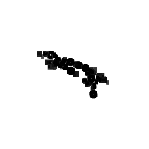 CN(C)CC[C@H](CSc1ccccc1)Nc1ccc(S(=O)(=O)Nc2ccc(N3CCN(c4cccc(-c5c(-c6ccc(Cl)cc6)cn(CC[C@H](O)CO)c5C(=O)NCCCN5CCN(C)CC5)c4)CC3)cc2)cc1[N+](=O)[O-]